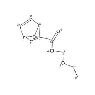 CCOCOC(=O)C1CC2C=CC1O2